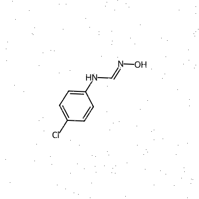 ON=CNc1ccc(Cl)cc1